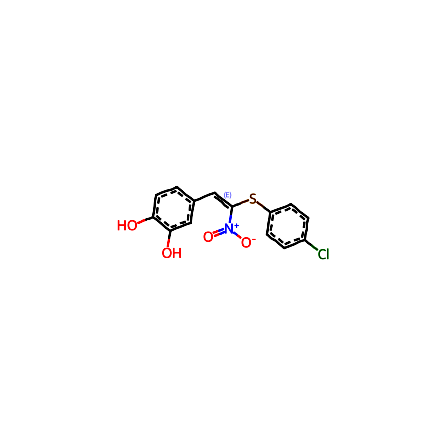 O=[N+]([O-])/C(=C\c1ccc(O)c(O)c1)Sc1ccc(Cl)cc1